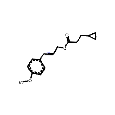 CCOc1ccc(/C=C/COC(=O)CCC2CC2)cc1